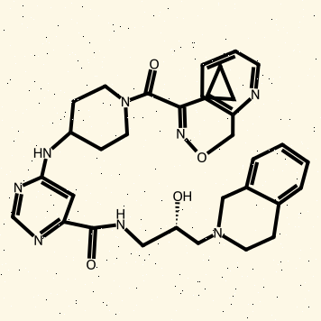 O=C(NC[C@H](O)CN1CCc2ccccc2C1)c1cc(NC2CCN(C(=O)C(=NOCc3ccccn3)C3CC3)CC2)ncn1